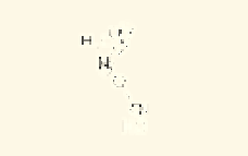 CC(OC1CCCCO1)c1nccn1Cc1cc(-c2ccc(C#Cc3ccc(CO)nc3)cc2)on1